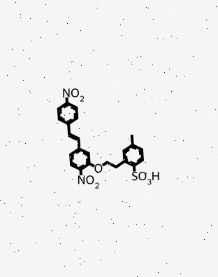 Cc1ccc(S(=O)(=O)O)c(CCOc2cc(/C=C/c3ccc([N+](=O)[O-])cc3)ccc2[N+](=O)[O-])c1